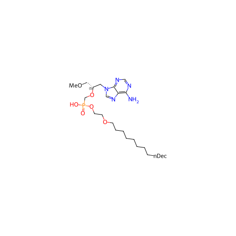 CCCCCCCCCCCCCCCCCCOCCOP(=O)(O)CO[C@H](COC)Cn1cnc2c(N)ncnc21